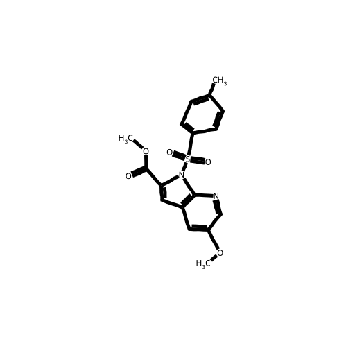 COC(=O)c1cc2cc(OC)cnc2n1S(=O)(=O)c1ccc(C)cc1